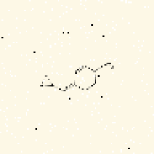 O=[N+]([O-])C1=CCC(=CC2CC2)C=C1